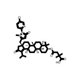 CC(C)C1=C2[C@H]3CC[C@@H]4[C@@]5(C)CC[C@H](OC(=O)CC(C)(C)C(=O)O)C(C)(C)[C@@H]5CC[C@@]4(C)[C@]3(C)CC[C@@]2(Cc2cc(=O)n(-c3ccc(Cl)cn3)n2C)CC1=O